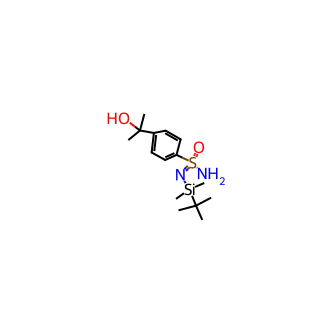 CC(C)(O)c1ccc(S(N)(=O)=N[Si](C)(C)C(C)(C)C)cc1